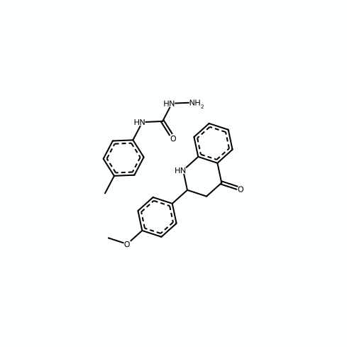 COc1ccc(C2CC(=O)c3ccccc3N2)cc1.Cc1ccc(NC(=O)NN)cc1